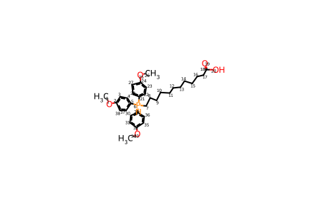 COc1ccc([PH](CCCCCCCCCCCC(=O)O)(c2ccc(OC)cc2)c2ccc(OC)cc2)cc1